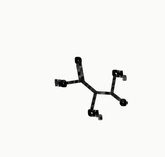 CC([O])C(C)C(=O)O